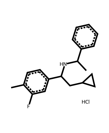 Cc1ccc(C(CC2CC2)NC(C)c2ccccc2)cc1F.Cl